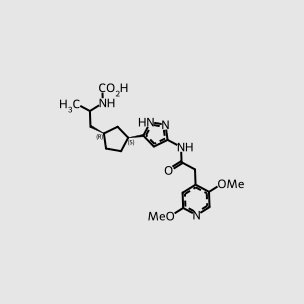 COc1cc(CC(=O)Nc2cc([C@H]3CC[C@@H](CC(C)NC(=O)O)C3)[nH]n2)c(OC)cn1